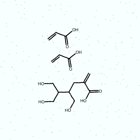 C=C(CC(CO)C(CO)CO)C(=O)O.C=CC(=O)O.C=CC(=O)O